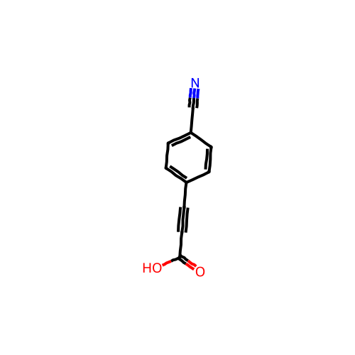 N#Cc1ccc(C#CC(=O)O)cc1